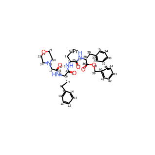 CC(C)C[C@H](NC(=O)[C@H](CCc1ccccc1)NC(=O)CN1CCOCC1)C(=O)N[C@@H](Cc1ccccc1)C(=O)OCc1ccccc1